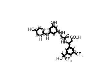 CC(O)(c1cc(C(CC(=O)O)NC(=O)CNc2cc(O)cc(NC3=NCC(O)CN3)c2)cc(C(F)(F)F)c1)C(F)(F)F